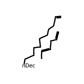 C=CCC=CC.C=CCCCCCCCCCCCCCCCCCC